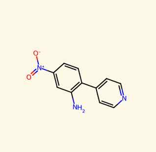 Nc1cc([N+](=O)[O-])ccc1-c1ccncc1